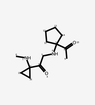 CNC1(C(=O)CNC2(C(C)=O)CCCC2)CC1